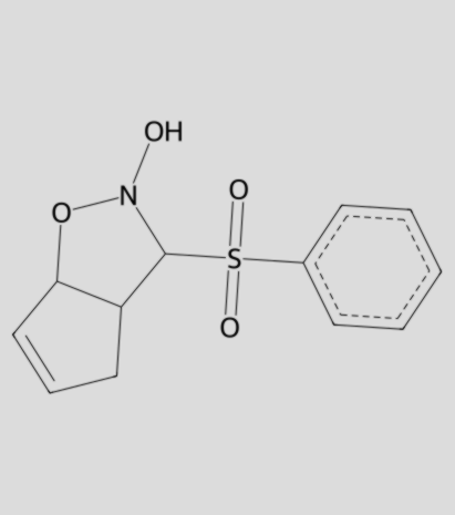 O=S(=O)(c1ccccc1)C1C2CC=CC2ON1O